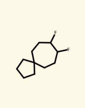 FC1CCC2(CCCC2)CCC1F